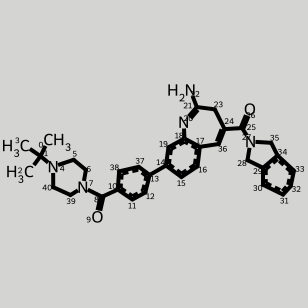 CC(C)(C)N1CCN(C(=O)c2ccc(-c3ccc4c(c3)N=C(N)CC(C(=O)N3Cc5ccccc5C3)=C4)cc2)CC1